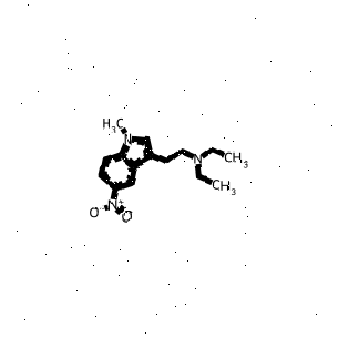 CCN(CC)CCc1cn(C)c2ccc([N+](=O)[O-])cc12